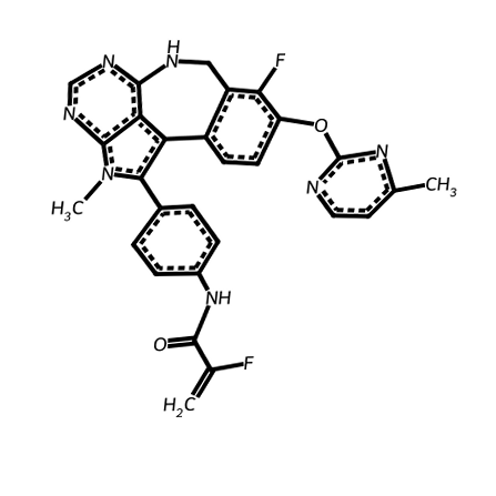 C=C(F)C(=O)Nc1ccc(-c2c3c4c(ncnc4n2C)NCc2c-3ccc(Oc3nccc(C)n3)c2F)cc1